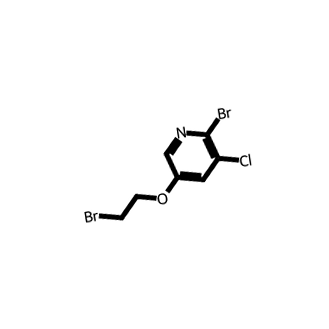 Clc1cc(OCCBr)cnc1Br